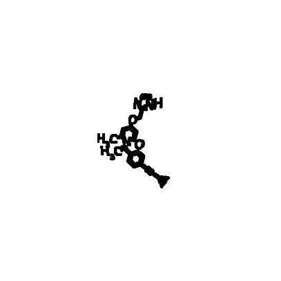 Cc1cc(OCc2ncc[nH]2)cc(=O)n1[C@H](C)c1ccc(C#CC2CC2)cc1